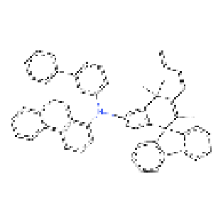 C=C/C=C\C1=C(C)C2(c3ccccc3-c3ccccc32)c2ccc(N(c3cccc(-c4ccccc4)c3)c3cccc4c3ccc3ccccc34)cc2C1(C)C